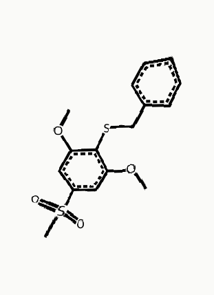 COc1cc(S(C)(=O)=O)cc(OC)c1SCc1ccccc1